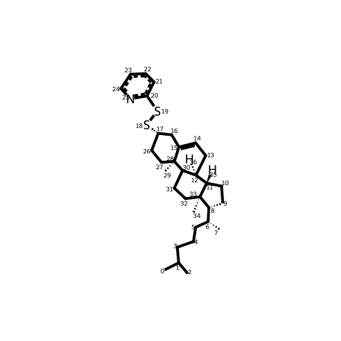 CC(C)CCC[C@@H](C)[C@H]1CC[C@H]2[C@@H]3CC=C4C[C@@H](SSc5ccccn5)CC[C@]4(C)C3CC[C@]12C